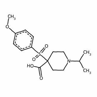 COc1ccc(S(=O)(=O)C2(C(=O)O)CCN(C(C)C)CC2)cc1